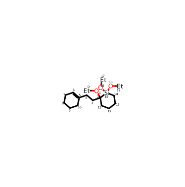 CCOC1(CCC2=CCCCC2)CCCC[Si]1(OCC)OCC